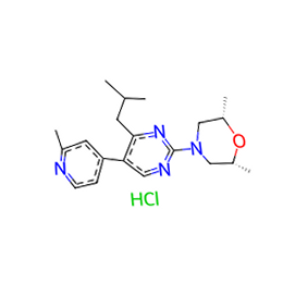 Cc1cc(-c2cnc(N3C[C@@H](C)O[C@@H](C)C3)nc2CC(C)C)ccn1.Cl